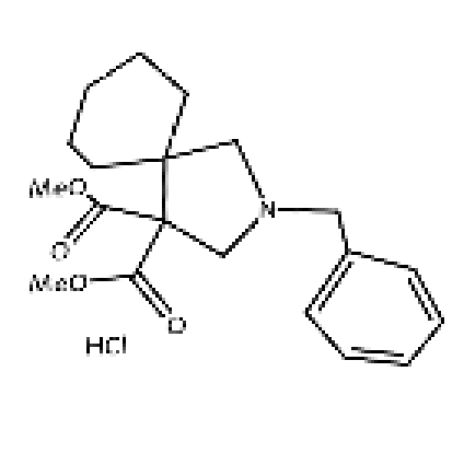 COC(=O)C1(C(=O)OC)CN(Cc2ccccc2)CC12CCCCC2.Cl